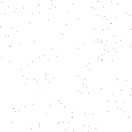 Cc1ccc2c(NC(=O)CC3CCCCC3)cccc2c1Oc1ncccc1-c1ccnc(NC2CCCNC2)n1